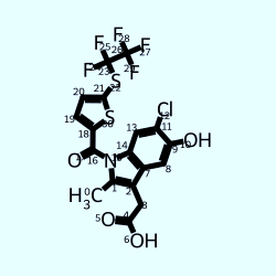 Cc1c(CC(=O)O)c2cc(O)c(Cl)cc2n1C(=O)c1ccc(SC(F)(F)C(F)(F)F)s1